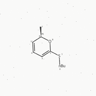 CCCCSC1=CC=C[C@@H](C)O1